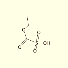 CCOC(=O)S(=O)(=O)O